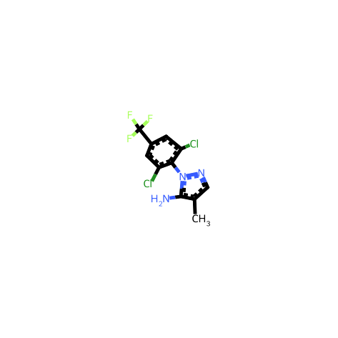 Cc1cnn(-c2c(Cl)cc(C(F)(F)F)cc2Cl)c1N